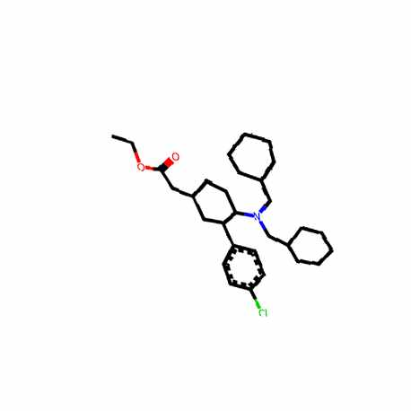 CCOC(=O)CC1CCC(N(CC2CCCCC2)CC2CCCCC2)C(c2ccc(Cl)cc2)C1